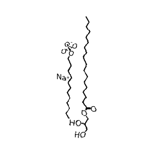 CCCCCCCCCCCCCCCCCC(=O)OCC(O)CO.CCCCCCCCCCCCOS(=O)(=O)[O-].[Na+]